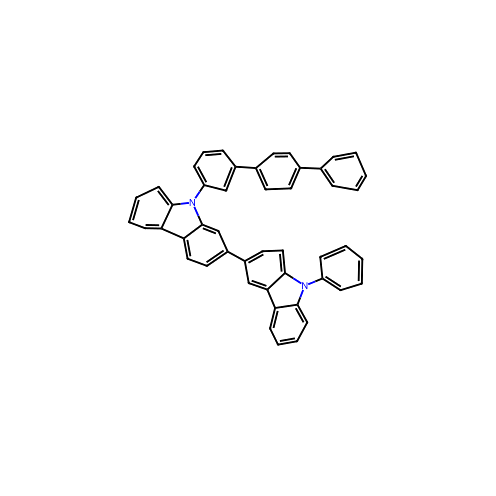 c1ccc(-c2ccc(-c3cccc(-n4c5ccccc5c5ccc(-c6ccc7c(c6)c6ccccc6n7-c6ccccc6)cc54)c3)cc2)cc1